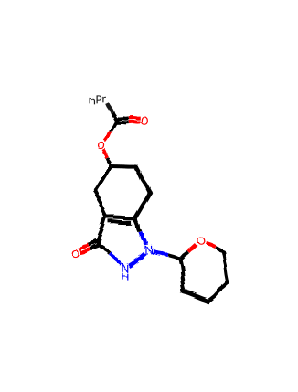 CCCC(=O)OC1CCc2c(c(=O)[nH]n2C2CCCCO2)C1